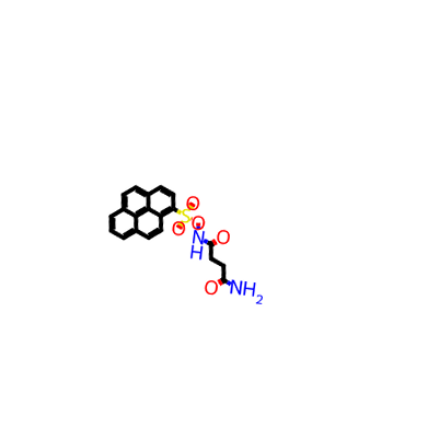 NC(=O)CCC(=O)NOS(=O)(=O)c1ccc2ccc3cccc4ccc1c2c34